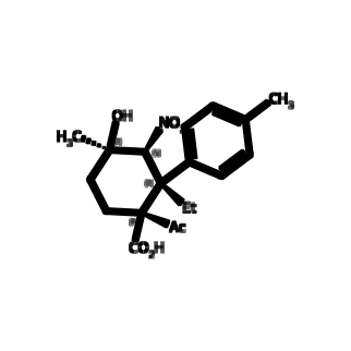 CC[C@]1(c2ccc(C)cc2)[C@H]([N+](=O)[O-])[C@](C)(O)CC[C@@]1(C(C)=O)C(=O)O